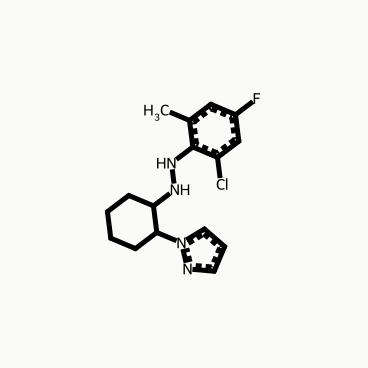 Cc1cc(F)cc(Cl)c1NNC1CCCCC1n1cccn1